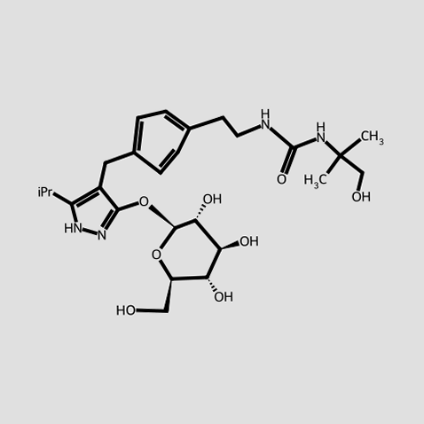 CC(C)c1[nH]nc(O[C@@H]2O[C@H](CO)[C@@H](O)[C@H](O)[C@H]2O)c1Cc1ccc(CCNC(=O)NC(C)(C)CO)cc1